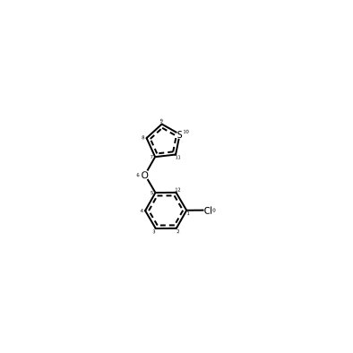 Clc1cccc(Oc2ccsc2)c1